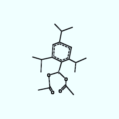 CC(=O)OI(OC(C)=O)c1c(C(C)C)cc(C(C)C)cc1C(C)C